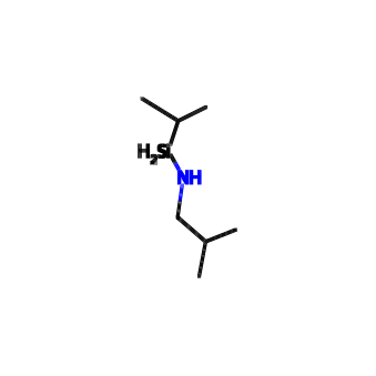 CC(C)CN[SiH2]C(C)C